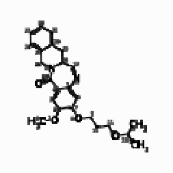 COc1cc2c(cc1OCCCOC(C)C)N=CC1Cc3ccccc3CN1C2=O